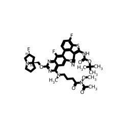 CON(C(C)=O)C(=O)CCCN(C)c1nc(OC[C@@]23CCCN2C[C@H](F)C3)nc2c(F)c(-c3ccc(F)c4sc(NC(=O)OC(C)(C)C)c(C#N)c34)c(Cl)cc12